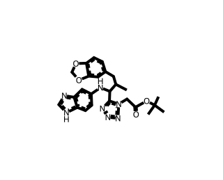 CC(Cc1ccc2c(c1)OCO2)C(Nc1ccc2[nH]cnc2c1)c1nnnn1CC(=O)OC(C)(C)C